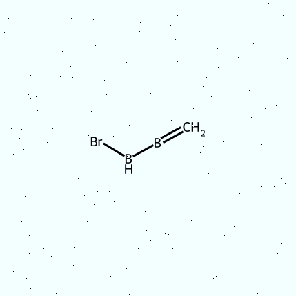 C=BBBr